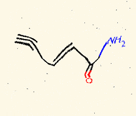 C#CC=CC(N)=O